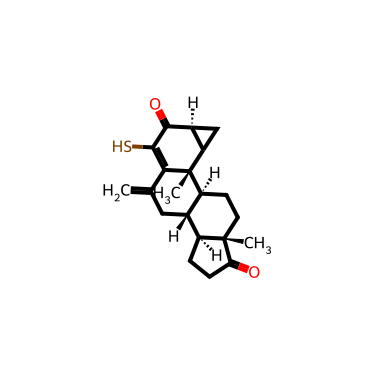 C=C1C[C@H]2[C@@H]3CCC(=O)[C@@]3(C)CC[C@@H]2[C@]2(C)C1=C(S)C(=O)[C@H]1CC12